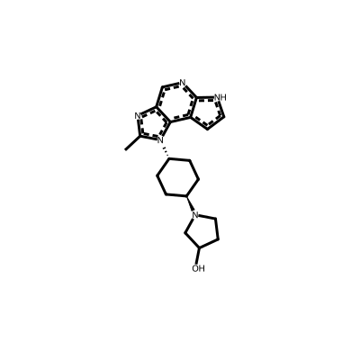 Cc1nc2cnc3[nH]ccc3c2n1[C@H]1CC[C@H](N2CCC(O)C2)CC1